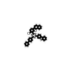 Clc1ccc2c(oc3c4ccccc4ccc23)c1-c1nc(-c2ccc(-c3ccccc3)cc2)nc(-c2ccc3c(c2)sc2ccccc23)n1